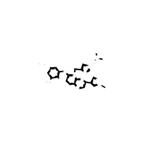 COc1cc(/N=c2\ccc3ncc(-c4cnn(C)c4)nc3n2Cc2cn(S(=O)(=O)N(C)C)cn2)c(F)c(OC)c1